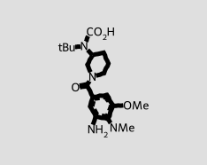 CNc1c(N)cc(C(=O)N2CCCC(N(C(=O)O)C(C)(C)C)C2)cc1OC